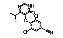 CC(F)c1nc[nH]c(=O)c1Oc1c(Cl)cc(C#N)cc1Cl